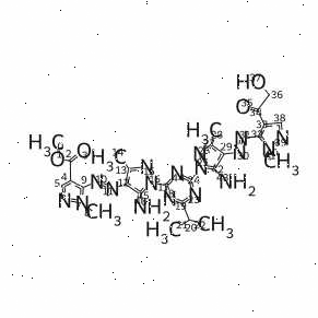 COC(=O)c1cnn(C)c1/N=N/c1c(C)nn(-c2nc(C(C)C)nc(-n3nc(C)c(/N=N/c4c(C(=O)CO)cnn4C)c3N)n2)c1N